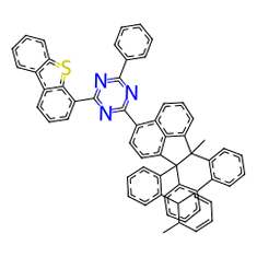 CC1C=CC=CC1c1ccccc1C12c3ccccc3-c3ccccc3C1(C)c1cccc3c(-c4nc(-c5ccccc5)nc(-c5cccc6c5sc5ccccc56)n4)ccc2c13